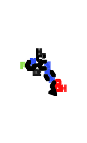 CCc1cc(F)cnc1-c1cc(N2CCN(C(=O)CC3(O)CC3)CC2)ncc1C